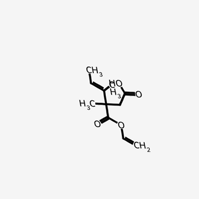 C=COC(=O)C(C)(CC(=O)O)C(C)=CC